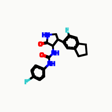 O=C(Nc1ccc(F)cc1)NC1C(=O)NCC1c1cc2c(cc1F)CCC2